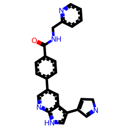 O=C(NCc1ccccn1)c1ccc(-c2cnc3[nH]cc(C4=CCN=C4)c3c2)cc1